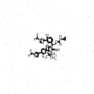 CC(C)(C)C[C@]1(C2(C)C=CC(c3cnn(C(F)F)c3)=CC2)NC(=N)N([C@H](COC(=O)NC2CC2)c2ccc(Cl)c(-c3ncn(C(F)F)n3)c2)C1=O